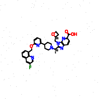 C[C@@H](c1nc2ccc(C(=O)O)nc2n1C[C@@H]1CCO1)N1CCC(c2cccc(OCc3cccc4cc(F)cnc34)n2)CC1